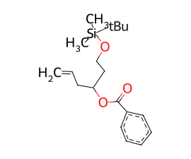 C=CCC(CCO[Si](C)(C)C(C)(C)C)OC(=O)c1ccccc1